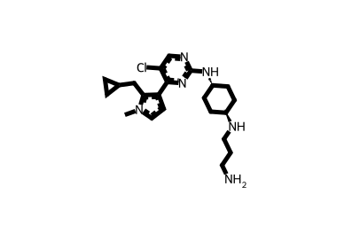 Cn1ccc(-c2nc(N[C@H]3CC[C@H](NCCCN)CC3)ncc2Cl)c1CC1CC1